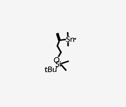 C=[C](CCO[Si](C)(C)C(C)(C)C)[Sn]([CH3])([CH3])[CH3]